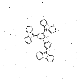 c1ccc2c(c1)c1ccccc1n2-c1ccc2oc3c(-n4c5ccccc5c5ccccc54)cc(-n4c5ccccc5c5ccccc54)cc3c2c1